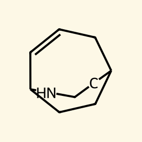 C1=CC2CCC(C1)CCN2